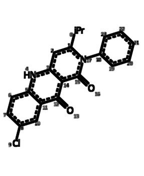 CC(C)c1cc2[nH]c3ccc(Cl)cc3c(=O)c2c(=O)n1-c1ccccc1